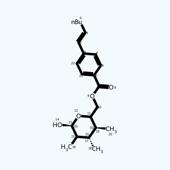 CCCCC=Cc1ccc(C(=O)OCC2O[C@H](O)C(C)[C@@H](C)[C@@H]2C)cc1